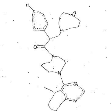 CC1CCc2ncnc(N3CCN(C(=O)C(CN4CCOCC4)c4ccc(Cl)cc4)CC3)c21